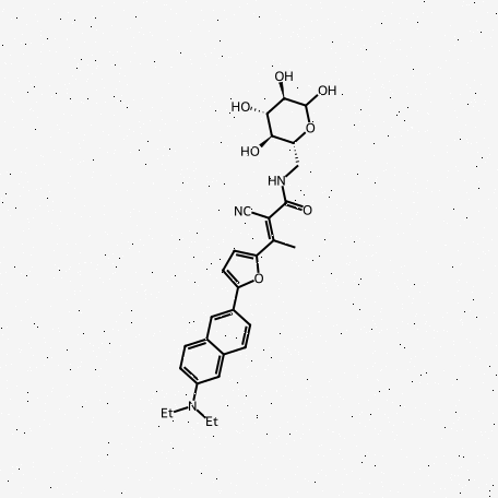 CCN(CC)c1ccc2cc(-c3ccc(/C(C)=C(\C#N)C(=O)NC[C@H]4OC(O)[C@H](O)[C@@H](O)[C@@H]4O)o3)ccc2c1